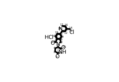 Cl.O=C1CCC(N2Cc3cc(-c4cc(CCl)ccn4)ccc3C2=O)C(=O)N1